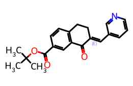 CC(C)(C)OC(=O)c1ccc2c(c1)C(=O)/C(=C/c1cccnc1)CC2